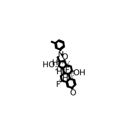 Cc1cccc(N2C[C@@H]3C[C@H]4[C@@H]5C[C@H](F)C6=CC(=O)C=C[C@]6(C)[C@@]5(F)[C@@H](O)C[C@]4(C)[C@]3(C(=O)O)O2)c1